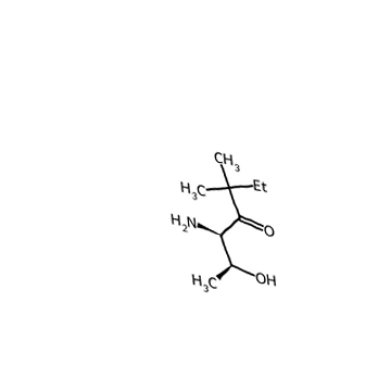 CCC(C)(C)C(=O)[C@H](N)[C@H](C)O